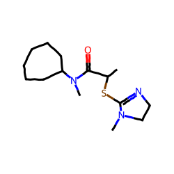 CC(SC1=NCCN1C)C(=O)N(C)C1CCCCCC1